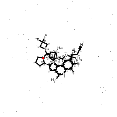 Cc1nc2c(F)c(Br)c(CCC#N)cc2c2c1cc([C@H]1CCCN1C(=O)N1CC(F)(F)C1)n2[C@H]1[C@@H]2C[C@H]1N(C(=O)OC(C)(C)C)C2